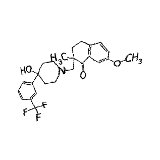 COc1ccc2c(c1)C(=O)C(C)(CN1CCC(O)(c3cccc(C(F)(F)F)c3)CC1)CC2